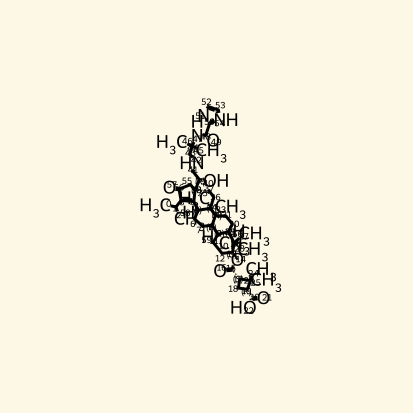 CC(C)C1=C2[C@H]3CC[C@@H]4[C@@]5(C)CC[C@H](OC(=O)[C@H]6C[C@@H](C(=O)O)C6(C)C)C(C)(C)[C@@H]5CC[C@@]4(C)[C@]3(C)CC[C@@]2([C@@H](O)CNCC(C)(C)NC(=O)c2ncc[nH]2)CC1=O